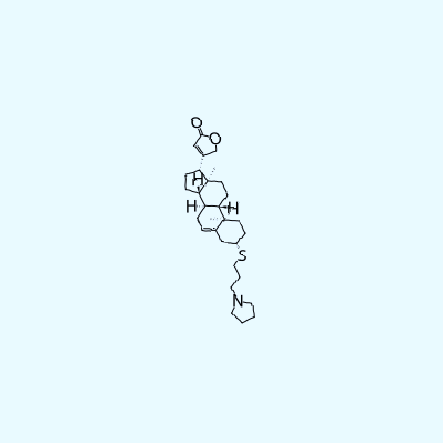 C[C@]12CC[C@H]3[C@@H](CC=C4C[C@@H](SCCCN5CCCC5)CC[C@@]43C)[C@@H]1CC[C@@H]2C1=CC(=O)OC1